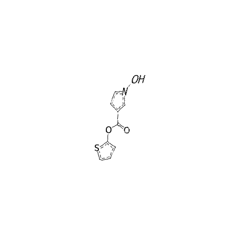 O=C(Oc1cccs1)c1ccn(O)c1